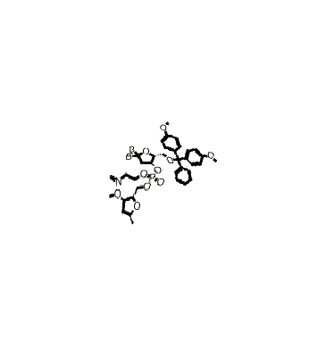 C=NCCOP(=O)(OC[C@H]1O[C@@H](C)C[C@H]1OC)O[C@@H]1CC2(B=B2)O[C@@H]1COC(c1ccccc1)(c1ccc(OC)cc1)c1ccc(OC)cc1